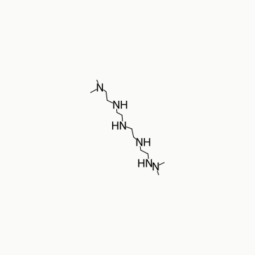 CN(C)CCNCCNCCNCCNN(C)C